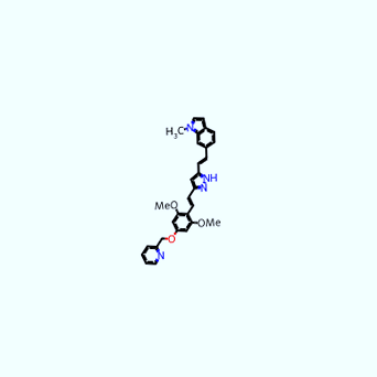 COc1cc(OCc2ccccn2)cc(OC)c1/C=C/c1cc(C=Cc2ccc3ccn(C)c3c2)[nH]n1